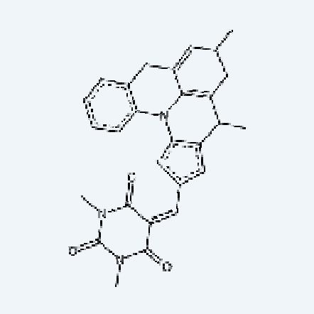 CC1C=C2Cc3ccccc3N3C2=C(C1)C(C)c1cc(C=C2C(=O)N(C)C(=O)N(C)C2=O)sc13